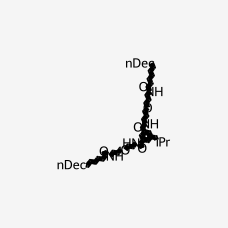 CCCCCCCCCCCCCCCC(=O)NCCCOCCCNC(=O)c1cc(CC(C)C)cc(C(=O)NCCOCCCNC(=O)CCCCCCCCCCCCCCC)c1